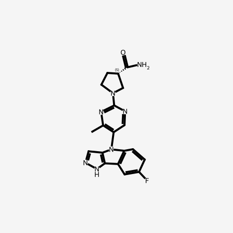 Cc1nc(N2CC[C@H](C(N)=O)C2)ncc1-n1c2ccc(F)cc2c2[nH]ncc21